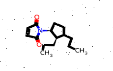 CCCC1CC[C@H](N2C(=O)C=CC2=O)[C@@H]1CCC